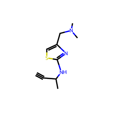 C#CC(C)Nc1nc(CN(C)C)cs1